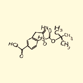 CC(C)(C)OC(=O)[SH]1(=O)C(=N)Cc2cc(C(=O)O)ccc21